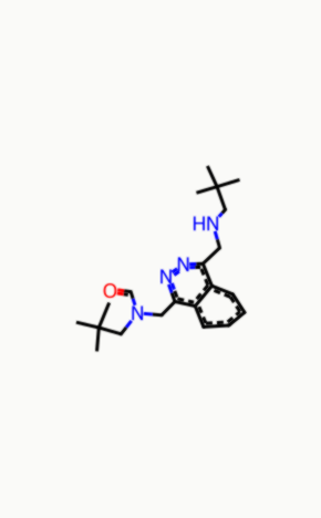 CC(C)(C)CNCc1nnc(CN(C=O)CC(C)(C)C)c2ccccc12